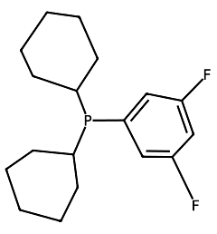 Fc1cc(F)cc(P(C2CCCCC2)C2CCCCC2)c1